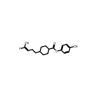 N#C/C(F)=C\CCC1CCC(C(=O)Oc2ccc(C#N)cc2)CC1